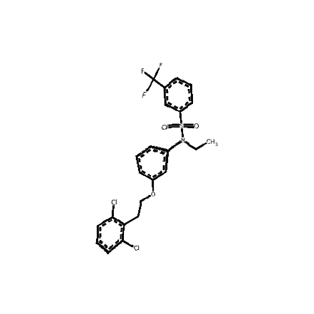 CCN(c1cccc(OCCc2c(Cl)cccc2Cl)c1)S(=O)(=O)c1cccc(C(F)(F)F)c1